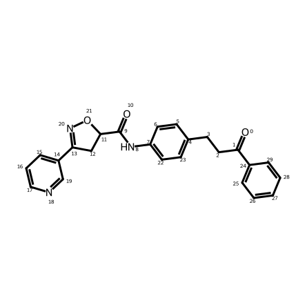 O=C(CCc1ccc(NC(=O)C2CC(c3cccnc3)=NO2)cc1)c1ccccc1